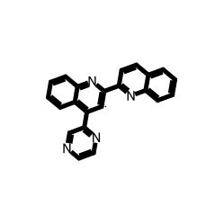 [c]1c(-c2ccc3ccccc3n2)nc2ccccc2c1-c1cnccn1